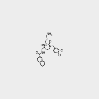 NCCC[C@@H]1N[C@H](CNC(=O)c2ccc3ccccc3c2)CCN(Cc2ccc(Cl)c(Cl)c2)C1=O